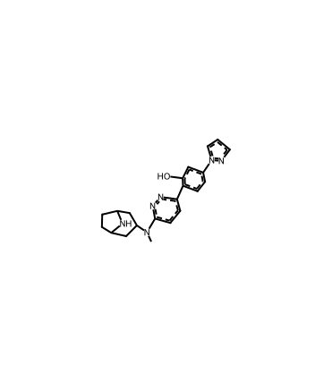 CN(c1ccc(-c2ccc(-n3cccn3)cc2O)nn1)C1CC2CCC(C1)N2